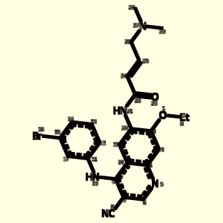 CCOc1cc2ncc(C#N)c(Nc3cccc(Br)c3)c2cc1NC(=O)/C=C/CN(C)C